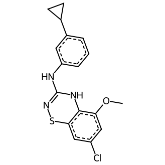 COc1cc(Cl)cc2c1NC(Nc1cccc(C3CC3)c1)=NS2